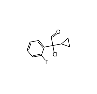 O=CC(Cl)(c1ccccc1F)C1CC1